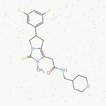 Cn1c(CC(=O)NCC2CCOCC2)c2n(c1=S)CC(c1cc(F)cc(F)c1)C2